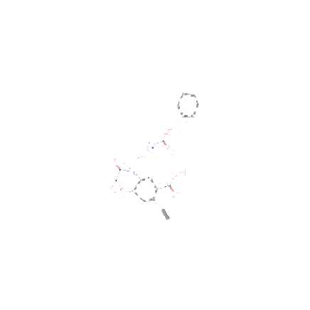 C#Cc1cc2c(cc1C(=O)O)N(CCNC(=O)OCc1ccccc1)C(=O)C(C)(C)O2